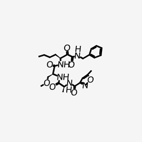 CCCC[C@H](NC(=O)[C@H](COC)NC(=O)[C@H](C)NC(=O)c1cc(C)on1)C(=O)C(=O)NCc1ccccc1